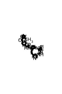 Cc1ccoc1C(=O)N1CCC(CC(=O)Nc2ccc3cc2CCc2cncc(c2)Nc2ncc(Cl)c(n2)N3)CC1